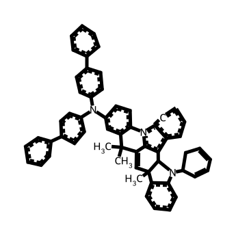 CC1(C)C2=CC3(C)c4ccccc4N(C4C=CC=CC4)C3c3c2n(c2ccccc32)-c2ccc(N(c3ccc(-c4ccccc4)cc3)c3ccc(-c4ccccc4)cc3)cc21